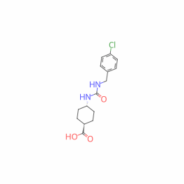 O=C(NCc1ccc(Cl)cc1)N[C@H]1CC[C@H](C(=O)O)CC1